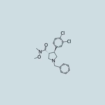 CON(C)C(=O)[C@H]1CN(Cc2ccccc2)C[C@@H]1c1ccc(Cl)c(Cl)c1